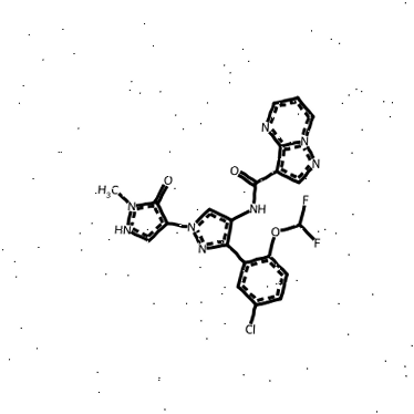 Cn1[nH]cc(-n2cc(NC(=O)c3cnn4cccnc34)c(-c3cc(Cl)ccc3OC(F)F)n2)c1=O